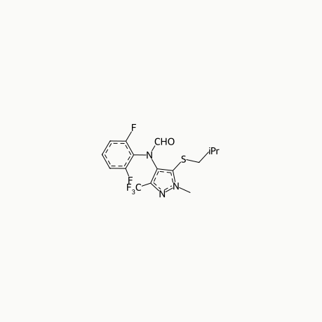 CC(C)CSc1c(N(C=O)c2c(F)cccc2F)c(C(F)(F)F)nn1C